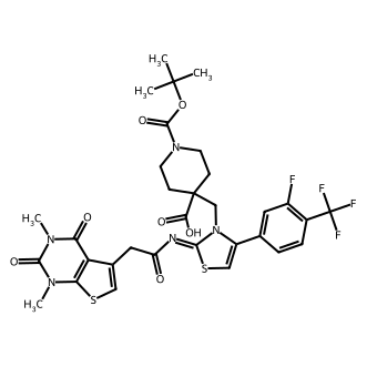 Cn1c(=O)c2c(CC(=O)/N=c3\scc(-c4ccc(C(F)(F)F)c(F)c4)n3CC3(C(=O)O)CCN(C(=O)OC(C)(C)C)CC3)csc2n(C)c1=O